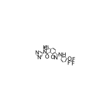 O=C(Nc1cncnc1)c1c(Cl)ccc2c(Nc3cccc(OC(F)(F)F)c3)noc12